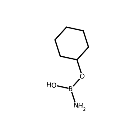 NB(O)OC1CCCCC1